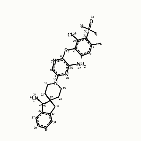 Cc1ccc(Sc2ncc(N3CCC4(CC3)Cc3ccccc3[C@H]4N)nc2N)c(Cl)c1P(C)(C)=O